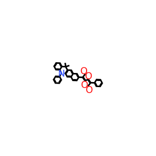 CC1(C)c2ccccc2N(c2ccccc2)c2cc3ccc(C4=C5OC(=O)C(c6ccccc6)=C5OC4=O)cc3cc21